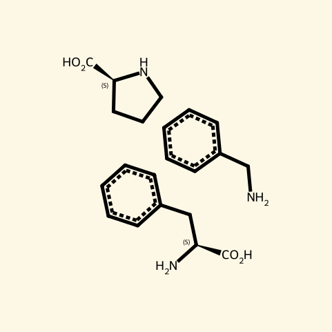 NCc1ccccc1.N[C@@H](Cc1ccccc1)C(=O)O.O=C(O)[C@@H]1CCCN1